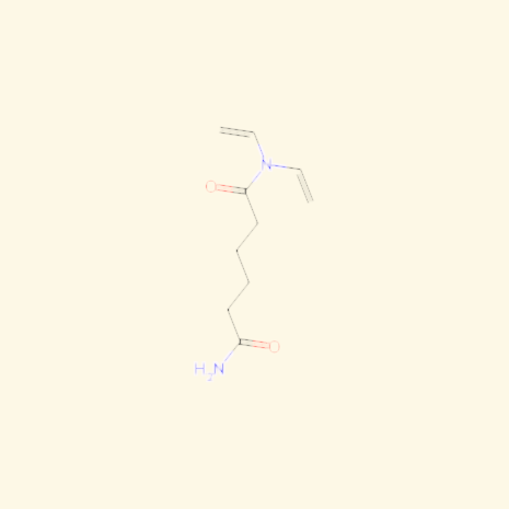 C=CN(C=C)C(=O)CCCCC(N)=O